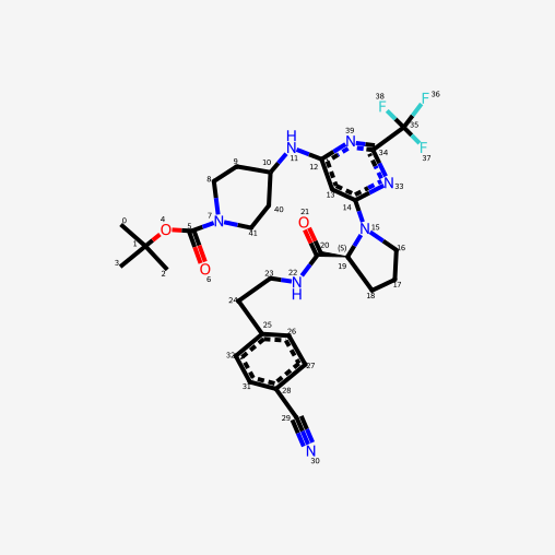 CC(C)(C)OC(=O)N1CCC(Nc2cc(N3CCC[C@H]3C(=O)NCCc3ccc(C#N)cc3)nc(C(F)(F)F)n2)CC1